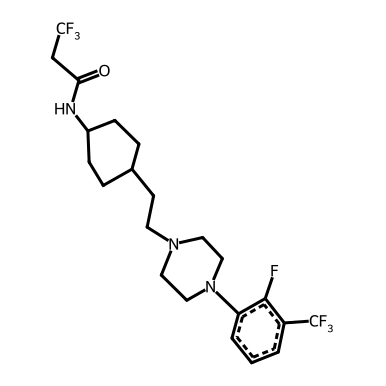 O=C(CC(F)(F)F)NC1CCC(CCN2CCN(c3cccc(C(F)(F)F)c3F)CC2)CC1